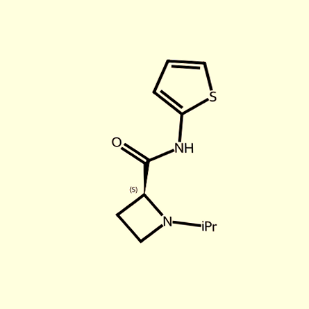 CC(C)N1CC[C@H]1C(=O)Nc1cccs1